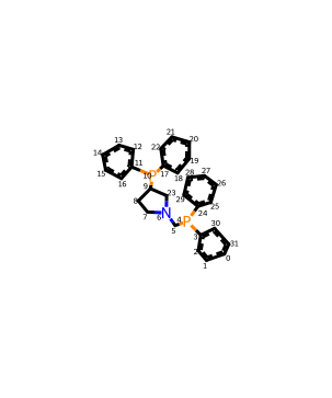 c1ccc(P(CN2CCC(P(c3ccccc3)c3ccccc3)C2)c2ccccc2)cc1